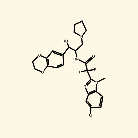 Cn1c(C(F)(F)C(=O)NC(CN2CCCC2)C(O)c2ccc3c(c2)OCCO3)nc2cc(Cl)ccc21